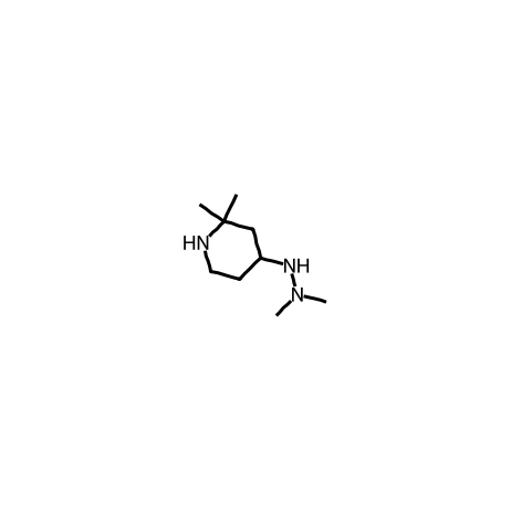 CN(C)NC1CCNC(C)(C)C1